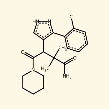 CC(C)(C(N)=O)C(C(=O)N1CCCCC1)c1c[nH]nc1-c1ccccc1Cl